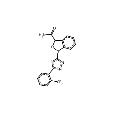 NC(=O)C1ON(c2nnc(-c3ccccc3C(F)(F)F)s2)c2ccccc21